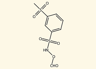 CS(=O)(=O)c1cccc(S(=O)(=O)NOC=O)c1